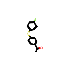 CC(=O)c1ccc(Sc2ccc(F)cc2)cc1